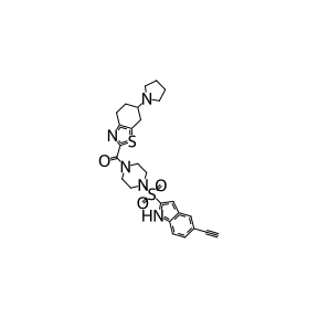 C#Cc1ccc2[nH]c(S(=O)(=O)N3CCN(C(=O)c4nc5c(s4)CC(N4CCCC4)CC5)CC3)cc2c1